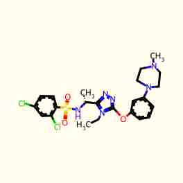 CCn1c(Oc2cccc(N3CCN(C)CC3)c2)nnc1[C@@H](C)NS(=O)(=O)c1ccc(Cl)cc1Cl